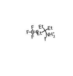 CCC(CC)(CC)[NH2+]I.F[B-](F)(F)F